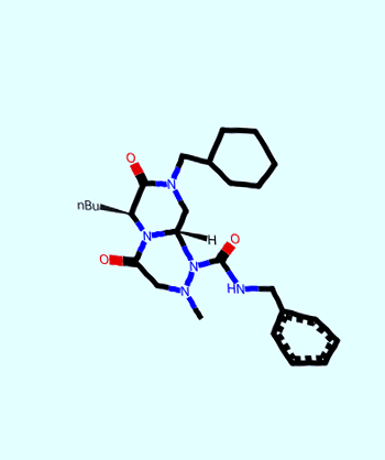 CCCC[C@H]1C(=O)N(CC2CCCCC2)C[C@H]2N1C(=O)CN(C)N2C(=O)NCc1ccccc1